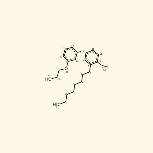 CCCCCCCCc1ccccc1O.OCCOc1ccccc1